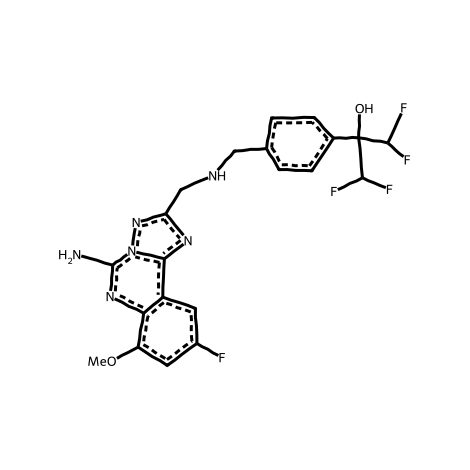 COc1cc(F)cc2c1nc(N)n1nc(CNCc3ccc(C(O)(C(F)F)C(F)F)cc3)nc21